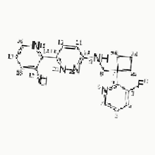 Fc1cccnc1C1(CNc2ccc(-c3ncccc3Cl)nn2)CCC1